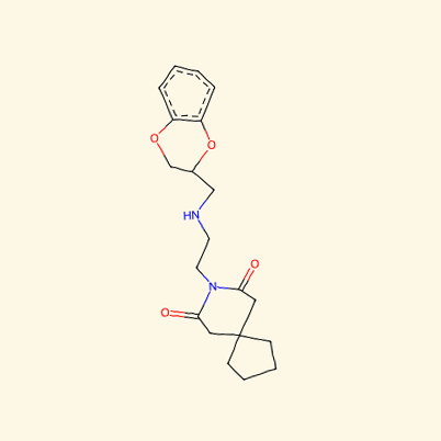 O=C1CC2(CCCC2)CC(=O)N1CCNCC1COc2ccccc2O1